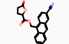 N#Cc1ccc2c(COC(=O)C3CCC(=O)O3)c3ccccc3cc2c1